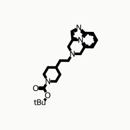 CC(C)(C)OC(=O)N1CCC(CCN2Cc3cccc4ncc(n34)C2)CC1